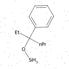 CCCC(CC)(O[SiH3])c1ccccc1